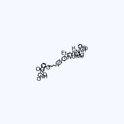 CCc1cc(Nc2ncc(Cl)c(Nc3ccccc3P(C)(C)=O)n2)c(OC)nc1N1CCC(N2CCN(CCCCOc3cccc4c3CN(C3CCC(=O)NC3=O)C4=O)CC2)CC1